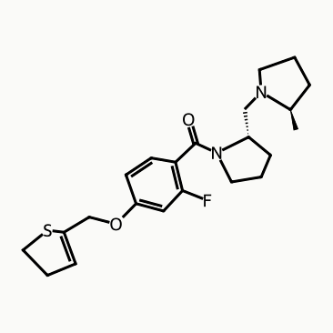 C[C@@H]1CCCN1C[C@@H]1CCCN1C(=O)c1ccc(OCC2=CCCS2)cc1F